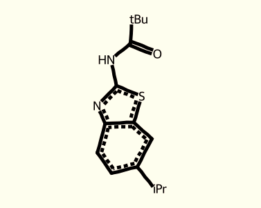 CC(C)c1ccc2nc(NC(=O)C(C)(C)C)sc2c1